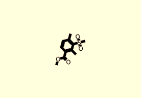 COC(=O)c1ccc(C)c(S(C)(=O)=O)c1C